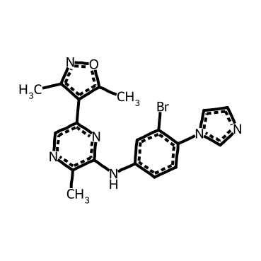 Cc1ncc(-c2c(C)noc2C)nc1Nc1ccc(-n2ccnc2)c(Br)c1